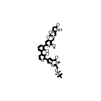 COc1nc(-c2cccc(-c3ccnc(-c4cc5c(=O)n(C)c(CO[Si](C)(C)C(C)(C)C)nn5c4)c3Cl)c2Cl)ccc1CN(CC1CCC(=O)N1)C(=O)O